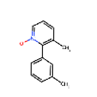 Cc1cccc(-c2c(C)ccc[n+]2[O-])c1